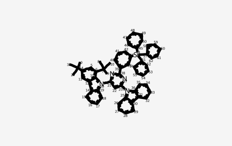 CC(C)(C)c1cc(C(C)(C)C)c2c(c1)c1ccccc1n2-c1cc(-n2c3ccccc3c3ccccc32)nc(-c2cccc([Si](c3ccccc3)(c3ccccc3)c3ccccc3)c2)n1